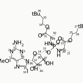 COc1nc(N)nc2c1nc(I)n2[C@@H]1O[C@H](COP(=O)(N[C@@H](C)C(=O)OCCC(C)(C)C)N[C@@H](C)C(=O)OCCC(C)(C)C)[C@@H](O)[C@@]1(C)O